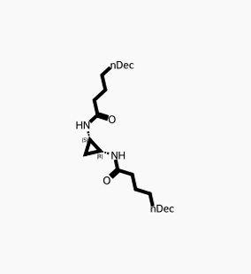 CCCCCCCCCCCCCC(=O)N[C@H]1C[C@H]1NC(=O)CCCCCCCCCCCCC